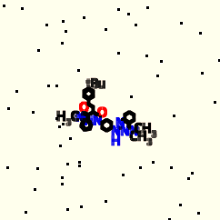 CN(C)c1nc(N[C@H]2CC[C@@H](NC(=O)C(CC(=O)c3ccc(C(C)(C)C)cc3)c3cn(C)c4ccccc34)CC2)nc2c1CCCC2